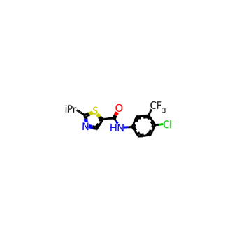 CC(C)c1ncc(C(=O)Nc2ccc(Cl)c(C(F)(F)F)c2)s1